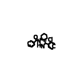 CN(C)C(c1ccccc1Cl)[C@@H]1CCCC[C@H]1NC(=O)c1ccccc1